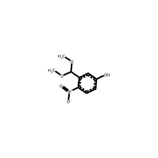 COC(OC)c1cc(O)ccc1[N+](=O)[O-]